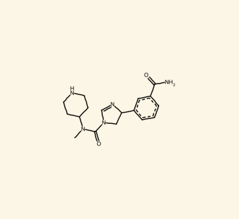 CN(C(=O)N1C=NC(c2cccc(C(N)=O)c2)C1)C1CCNCC1